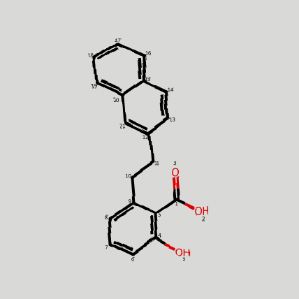 O=C(O)c1c(O)cccc1CCc1ccc2ccccc2c1